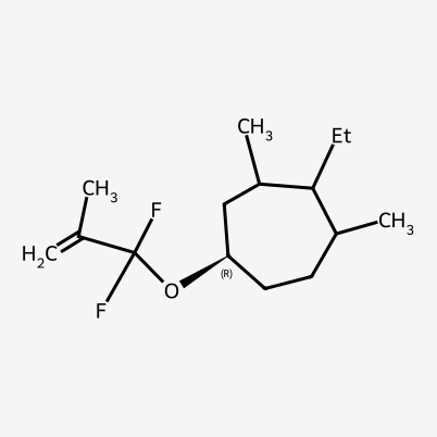 C=C(C)C(F)(F)O[C@@H]1CCC(C)C(CC)C(C)C1